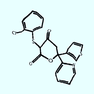 O=C1CC(c2ccsc2)(c2ccccn2)OC(=O)C1Sc1ccccc1Cl